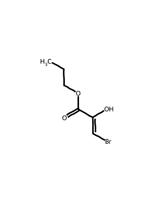 CCCOC(=O)C(O)=CBr